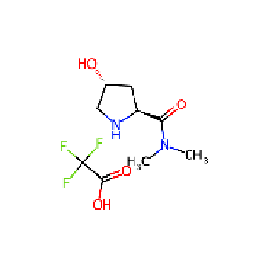 CN(C)C(=O)[C@@H]1C[C@@H](O)CN1.O=C(O)C(F)(F)F